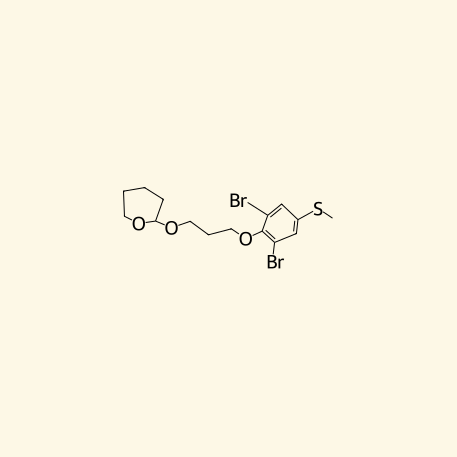 CSc1cc(Br)c(OCCCOC2CCCCO2)c(Br)c1